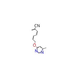 C=C(C#N)/C=C\C=C/COc1cc(C)ncn1